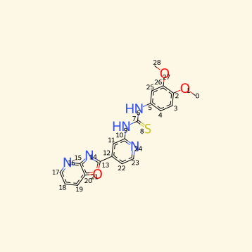 COc1ccc(NC(=S)Nc2cc(-c3nc4ncccc4o3)ccn2)cc1OC